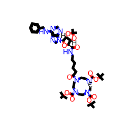 CC(C)(C)OC(=O)N1CCN(C(=O)CCCCCNC(=O)[C@H]2O[C@@H](n3cnc4c(NCc5ccccc5)ncnc43)[C@@H]3OC(C)(C)O[C@@H]32)CCN(C(=O)OC(C)(C)C)CCN(C(=O)OC(C)(C)C)CC1